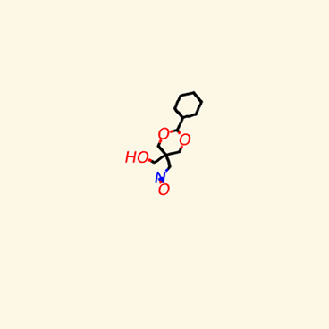 O=NCC1(CO)COC(C2CCCCC2)OC1